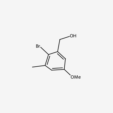 COc1cc(C)c(Br)c(CO)c1